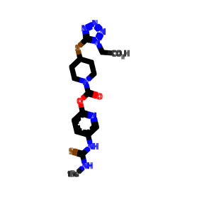 CC(C)(C)NC(=S)Nc1ccc(OC(=O)N2CCC(Sc3nnnn3CC(=O)O)CC2)nc1